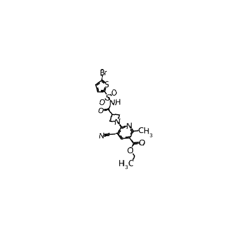 CCOC(=O)c1cc(C#N)c(N2CC(C(=O)NS(=O)(=O)c3ccc(Br)s3)C2)nc1C